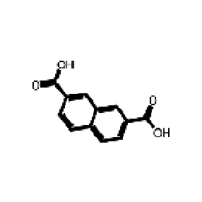 O=C(O)c1[c]c2cc(C(=O)O)ccc2cc1